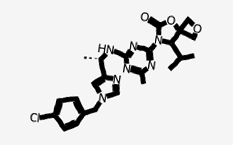 Cc1nc(N[C@@H](C)c2cn(Cc3ccc(Cl)cc3)cn2)nc(N2C(=O)OC3(COC3)C2C(C)C)n1